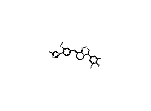 COc1cc(/C=C2\CCCN3C2=NOCC3c2cc(F)c(F)c(F)c2)ccc1-n1cnc(C)c1